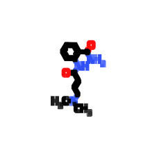 CN(C)C/C=C/C(=O)Nc1ccccc1C(N)=O